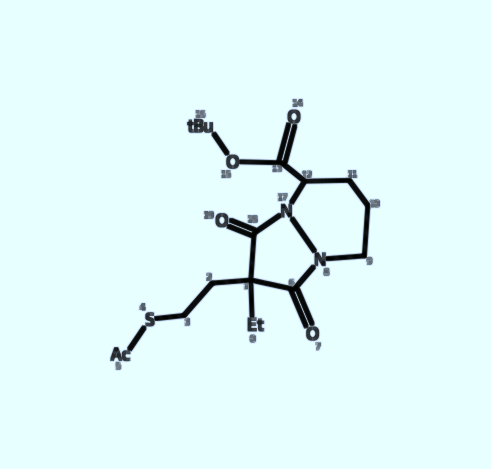 CCC1(CCSC(C)=O)C(=O)N2CCCC(C(=O)OC(C)(C)C)N2C1=O